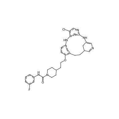 O=C(Nc1cccc(F)c1)N1CCC(CCOc2ccc3cc2CCC2C=NC=C(C2)Nc2ncc(Cl)c(n2)N3)CC1